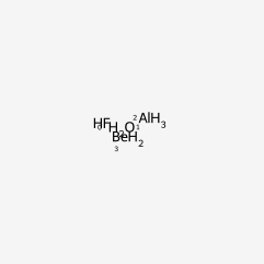 F.O.[AlH3].[BeH2]